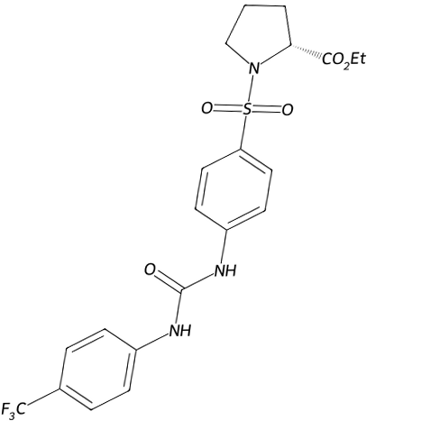 CCOC(=O)[C@H]1CCCN1S(=O)(=O)c1ccc(NC(=O)Nc2ccc(C(F)(F)F)cc2)cc1